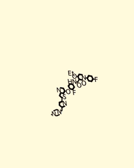 CCOc1ccn(-c2ccc(F)cc2)c(=O)c1C(=O)Nc1ccc(Oc2ccnc3cc(-c4ccc(CN5CCN(C)CC5)cn4)sc23)c(F)c1